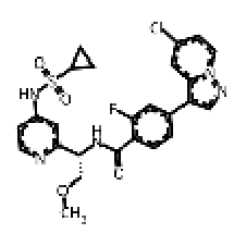 COC[C@@H](NC(=O)c1ccc(-c2cnn3ccc(Cl)cc23)cc1F)c1cc(NS(=O)(=O)C2CC2)ccn1